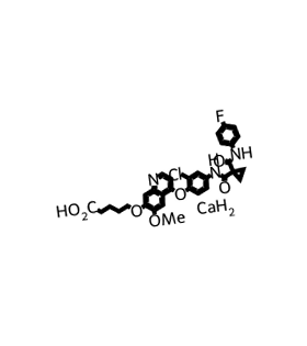 COc1cc2c(Oc3ccc(NC(=O)C4(C(=O)Nc5ccc(F)cc5)CC4)cc3Cl)ccnc2cc1OCCCCC(=O)O.[CaH2]